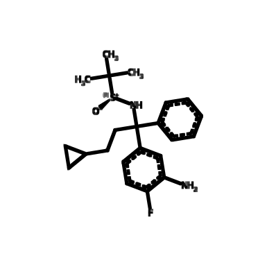 CC(C)(C)[S@+]([O-])NC(CCC1CC1)(c1ccccc1)c1ccc(F)c(N)c1